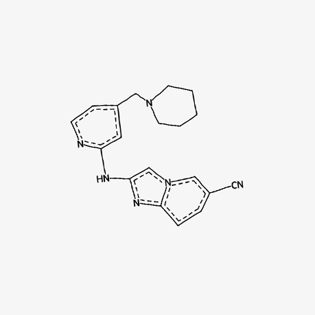 N#Cc1ccc2nc(Nc3cc(CN4CCCCC4)ccn3)cn2c1